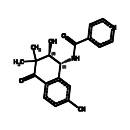 CC1(C)C(=O)c2ccc(C#N)cc2[C@@H](NC(=O)c2ccncc2)[C@@H]1O